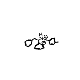 Cc1ccc(S(=O)(=O)NC(Cc2ccccc2)c2ccccc2)cc1